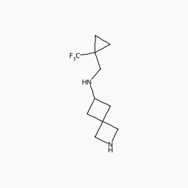 FC(F)(F)C1(CNC2CC3(CNC3)C2)CC1